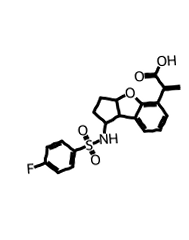 C=C(C(=O)O)c1cccc2c1OC1CCC(NS(=O)(=O)c3ccc(F)cc3)C21